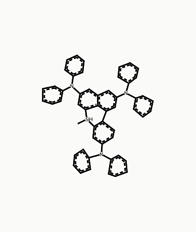 C[SiH]1c2cc(N(c3ccccc3)c3ccccc3)ccc2-c2cc(N(c3ccccc3)c3ccccc3)cc3cc(N(c4ccccc4)c4ccccc4)cc1c23